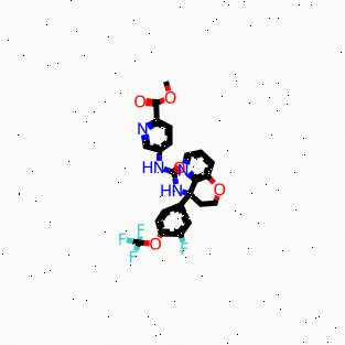 COC(=O)c1ccc(NC(=O)NC2(c3ccc(OC(F)(F)F)c(F)c3)CCOc3cccnc32)cn1